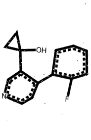 OC1(c2cnccc2-c2ccccc2F)CC1